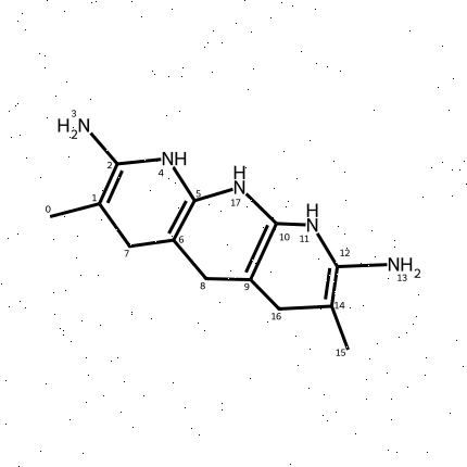 CC1=C(N)NC2=C(C1)CC1=C(NC(N)=C(C)C1)N2